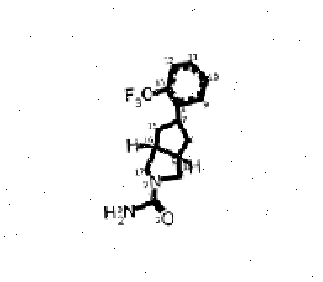 NC(=O)N1C[C@H]2CC(c3ccccc3C(F)(F)F)C[C@H]2C1